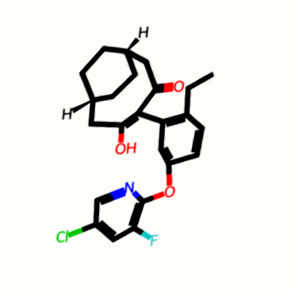 CCc1ccc(Oc2ncc(Cl)cc2F)cc1/C1=C(\O)C[C@H]2CC[C@H](CC2)CC1=O